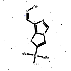 CCC[CH2][Sn]([CH2]CCC)([CH2]CCC)[c]1cn2cnc(/C=N\O)c2s1